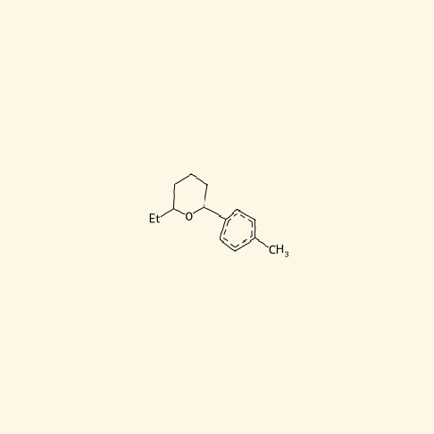 CCC1CCCC(c2ccc(C)cc2)O1